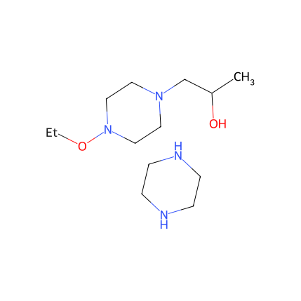 C1CNCCN1.CCON1CCN(CC(C)O)CC1